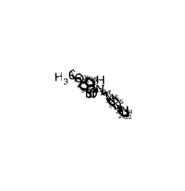 CCOc1ccc(Br)c2c(C(=O)NCCN3CCN(c4ccccn4)CC3)cccc12